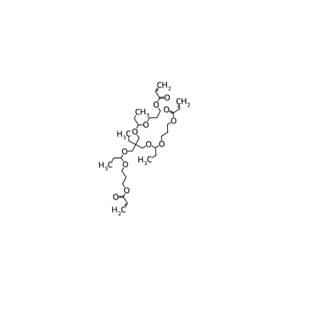 C=CC(=O)OCCCOC(CC)OCC(CC)(COC(CC)OCCCOC(=O)C=C)COC(CC)OCCCOC(=O)C=C